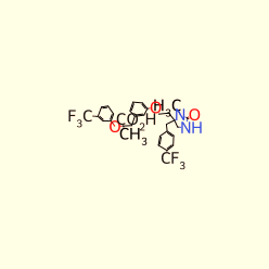 CN1C(=O)NCC1(CCOc1cccc(CC(C)(Oc2cccc(C(F)(F)F)c2)C(=O)O)c1)Cc1ccc(C(F)(F)F)cc1